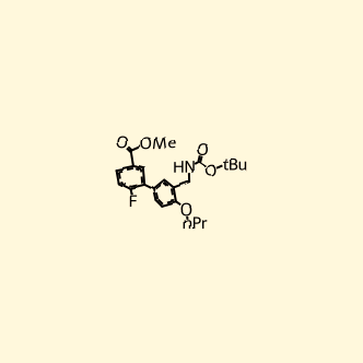 CCCOc1ccc(-c2cc(C(=O)OC)ccc2F)cc1CNC(=O)OC(C)(C)C